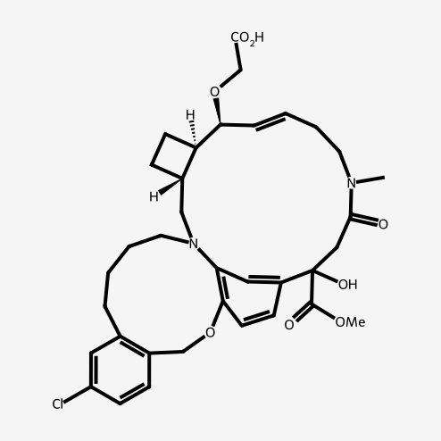 COC(=O)C1(O)CC(=O)N(C)CC/C=C/[C@H](OCC(=O)O)[C@@H]2CC[C@H]2CN2CCCCc3cc(Cl)ccc3COc3ccc1cc32